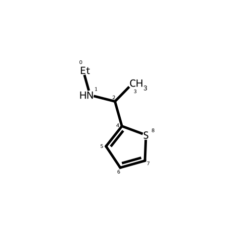 CCNC(C)c1cccs1